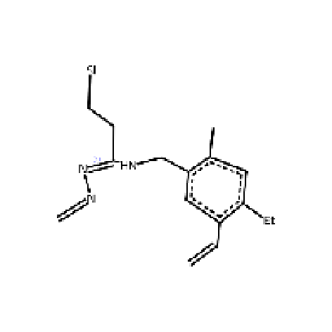 C=Cc1cc(CN/C(CCS)=N\N=C)c(C)cc1CC